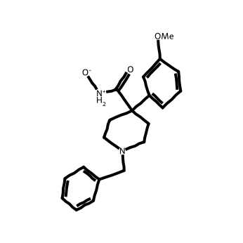 COc1cccc(C2(C(=O)[NH2+][O-])CCN(Cc3ccccc3)CC2)c1